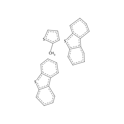 Cc1cccs1.c1ccc2c(c1)sc1ccccc12.c1ccc2c(c1)sc1ccccc12